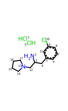 Cl.Cl.NC(Cc1cccc(Cl)c1)CN1CCCC1